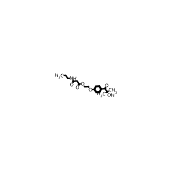 CCCNC(=O)CC(=O)OCCOc1ccc(C(=O)C(C)(C)O)cc1